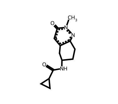 Cn1nc2c(cc1=O)CC(NC(=O)C1CC1)CC2